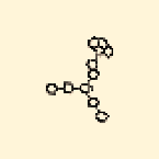 c1ccc(-c2ccc(-c3cc(-c4ccc(-c5ccccc5)cc4)nc(-c4ccc5cc(-n6c7cccc8ccc9cccc6c9c87)ccc5c4)c3)cc2)cc1